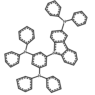 c1ccc(N(c2ccccc2)c2cc(N(c3ccccc3)c3ccccc3)cc(-n3c4ccccc4c4cc(N(c5ccccc5)c5ccccc5)ccc43)c2)cc1